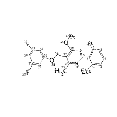 CCc1cccc(CC)c1-c1cc(OC(C)C)c(COc2cc(F)cc(F)c2)c(C)n1